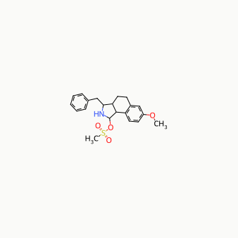 COc1ccc2c(c1)CCC1C(Cc3ccccc3)NC(OS(C)(=O)=O)C21